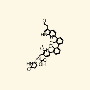 COc1nc(-c2cccc(-c3cccc(-c4ccc5c(CC=O)c[nH]c5n4)c3Cl)c2Cl)ccc1CN(C[C@@H]1CCC(=O)N1)C(=O)O